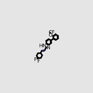 FC1(F)CCC(/C=C/c2nc3cc(-c4ccccc4OC(F)(F)F)ccc3[nH]2)CC1